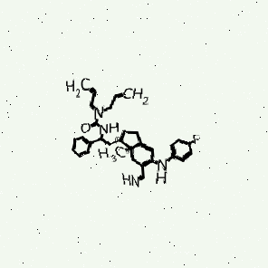 C=CCN(CC=C)C(=O)NC(C[C@H]1CCC2=CC(Nc3ccc(F)cc3)=C(C=N)C[C@@]21C)c1ccccc1